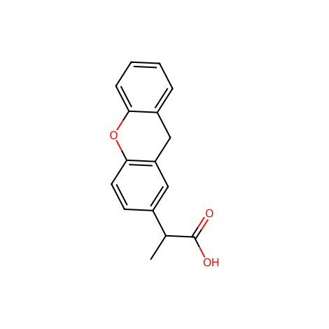 CC(C(=O)O)c1ccc2c(c1)Cc1ccccc1O2